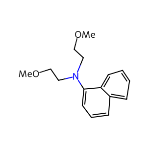 COCCN(CCOC)c1cccc2ccccc12